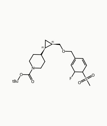 CC(C)(C)OC(=O)N1CCC([C@H]2C[C@H]2COCC2=CC(F)C(S(C)(=O)=O)C=C2)CC1